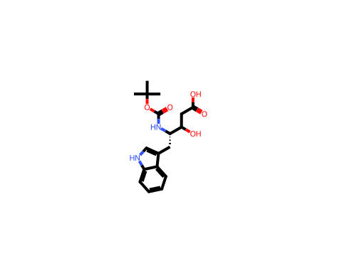 CC(C)(C)OC(=O)N[C@@H](Cc1c[nH]c2ccccc12)C(O)CC(=O)O